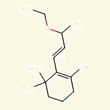 CCOC(C)/C=C/C1=C(C)CCCC1(C)C